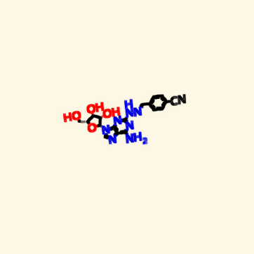 N#Cc1ccc(/C=N/Nc2nc(N)c3ncn([C@@H]4O[C@H](CO)[C@H](O)[C@@H]4O)c3n2)cc1